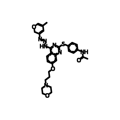 CC(=O)Nc1ccc(Sc2nc(NN=NC3=CC(C)=COC3)c3ccc(OCCCN4CCOCC4)cc3n2)cc1